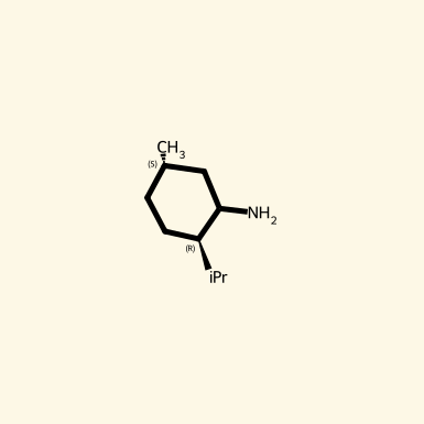 CC(C)[C@H]1CC[C@H](C)CC1N